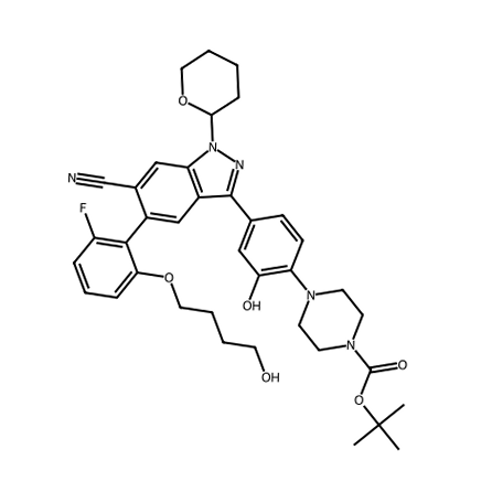 CC(C)(C)OC(=O)N1CCN(c2ccc(-c3nn(C4CCCCO4)c4cc(C#N)c(-c5c(F)cccc5OCCCCO)cc34)cc2O)CC1